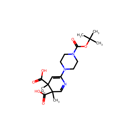 CC(C)(C)OC(=O)N1CCN(C2=CC(C)(C(=O)O)C(C)(C(=O)O)C=N2)CC1